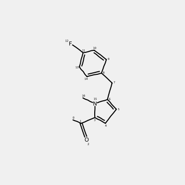 CC(=O)c1ccc(Cc2ccc(F)cc2)n1C